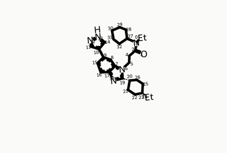 CCN(C(=O)CCn1c2cc(-c3cn[nH]c3)ccc2nc1[C@H]1CC[C@H](CC)CC1)C1CCCCC1